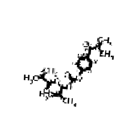 CC(C)C(=O)O[C@@H](OC(=O)Oc1ccc(C(=O)N(C)C)cc1)C(C)C